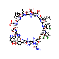 CCCC[C@H]1C(=O)N2C[C@H](O)C[C@@H]2C(=O)N[C@@H](CC(=O)O)C(=O)N[C@@H](C(C)C)C(=O)N(C)[C@@H](Cc2ccccc2)C(=O)N[C@@H](CCC(=O)O)C(=O)N2CCOC[C@@H]2C(=O)N[C@@H](Cc2c[nH]c3ccccc23)C(=O)N[C@@H](Cc2ccc(O)cc2)C(=O)N[C@@H](CN)C(=O)N[C@H](C(=O)NCC(N)=O)CSCC(=O)N[C@@H](Cc2cc(F)c(F)c(F)c2)C(=O)N(C)[C@@H](Cc2ccc(F)cc2)C(=O)N1C